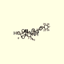 C#Cc1cn([C@@H]2O[C@H](C)C(O)C2O)c(=O)nc1NC(=O)OCCSc1ccccc1